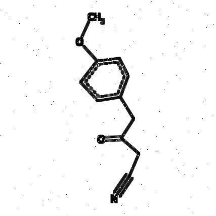 COc1ccc(CC(=O)CC#N)cc1